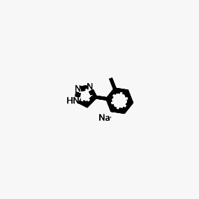 Cc1ccccc1-c1c[nH]nn1.[Na]